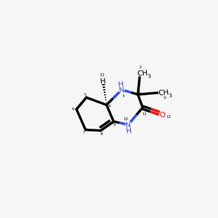 CC1(C)N[C@@H]2CCCC=C2NC1=O